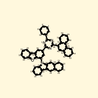 c1ccc(-c2nc(-c3cc(-n4c5ccccc5c5cc6ccccc6cc54)c4oc5ccccc5c4c3)nc(-c3cc4ccccc4c4ccccc34)n2)cc1